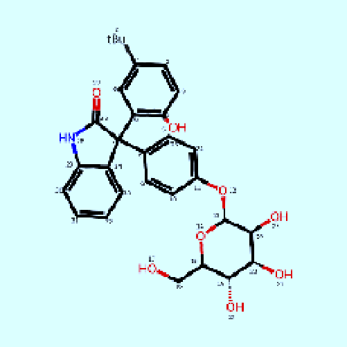 CC(C)(C)c1ccc(O)c(C2(c3ccc(O[C@@H]4OC(CO)[C@@H](O)[C@H](O)C4O)cc3)C(=O)Nc3ccccc32)c1